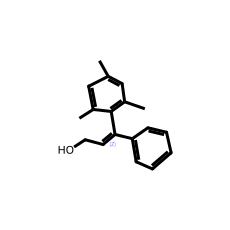 Cc1cc(C)c(/C(=C\CO)c2ccccc2)c(C)c1